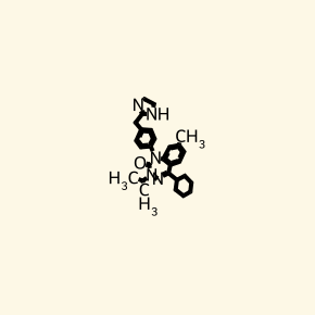 Cc1ccc2c(c1)N(c1ccc(CC3=NCCN3)cc1)C(=O)N(C(C)C)N=C2C1CCCCC1